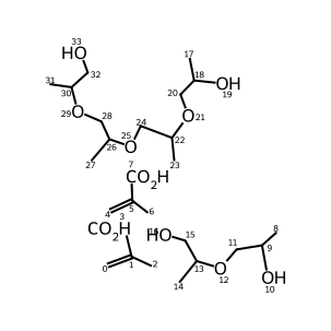 C=C(C)C(=O)O.C=C(C)C(=O)O.CC(O)COC(C)CO.CC(O)COC(C)COC(C)COC(C)CO